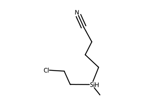 C[SiH](CCCl)CCCC#N